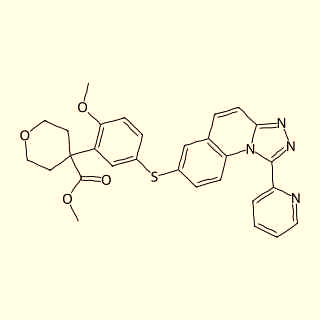 COC(=O)C1(c2cc(Sc3ccc4c(ccc5nnc(-c6ccccn6)n54)c3)ccc2OC)CCOCC1